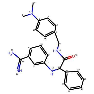 CN(C)c1ccc(CNC(=O)C(Nc2cccc(C(=N)N)c2)c2ccccc2)cc1